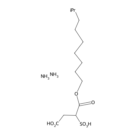 CC(C)CCCCCCCOC(=O)C(CC(=O)O)S(=O)(=O)O.N.N